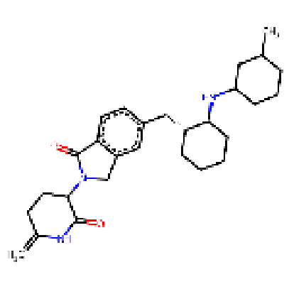 C=C1CCC(N2Cc3cc(C[C@H]4CCCC[C@@H]4NC4CCCC(C)C4)ccc3C2=O)C(=O)N1